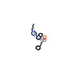 CCCCN1CCCN(c2ccc3c4c(cccc24)S(=O)(=O)N3CCCc2ccccc2)CC1